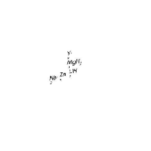 [LiH].[MgH2].[Nb].[Y].[Zn]